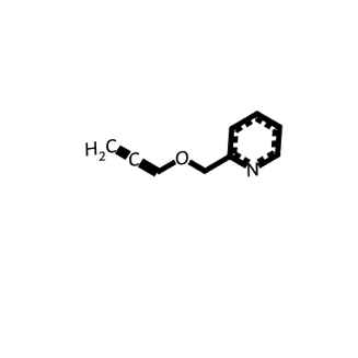 C=C=COCc1ccccn1